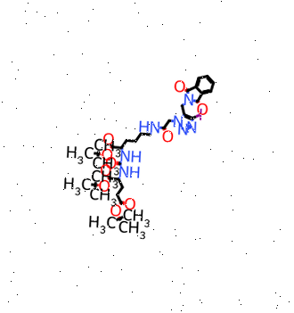 CC(C)(C)OC(=O)CCC(NC(=O)NC(CCCCNC(=O)Cn1nnc(I)c1CN1C(=O)c2ccccc2C1=O)C(=O)OC(C)(C)C)C(=O)OC(C)(C)C